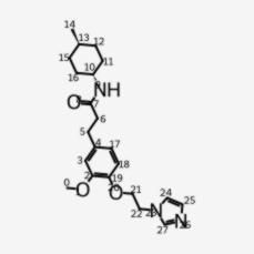 COc1cc(CCC(=O)N[C@H]2CC[C@H](C)CC2)ccc1OCCn1ccnc1